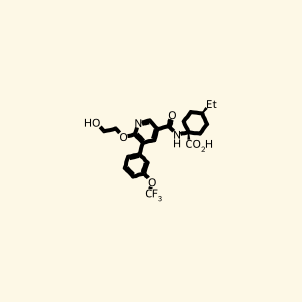 CC[C@H]1CC[C@@](NC(=O)c2cnc(OCCO)c(-c3cccc(OC(F)(F)F)c3)c2)(C(=O)O)CC1